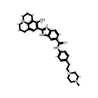 CN1CCN(CCc2ccc(NC(=O)c3ccc4nc(-c5cc6c7c(c5O)CCCN7CCC6)[nH]c4c3)cc2)CC1